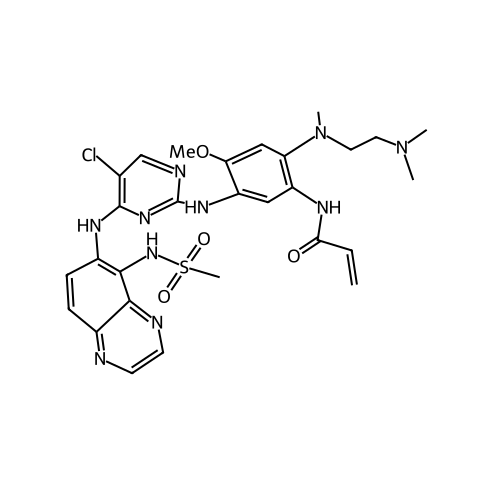 C=CC(=O)Nc1cc(Nc2ncc(Cl)c(Nc3ccc4nccnc4c3NS(C)(=O)=O)n2)c(OC)cc1N(C)CCN(C)C